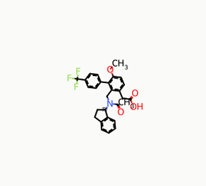 COc1ccc(CC(=O)O)c(CN(C(C)=O)[C@@H]2CCc3ccccc32)c1-c1ccc(C(F)(F)F)cc1